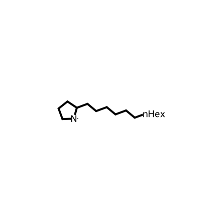 CCCCCCCCCCCCC1CCC[N]1